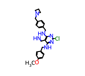 COc1ccc(CNc2nc(Cl)nc(NCc3ccc(CN4CCC4)cc3)c2C=N)cc1